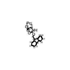 CC(C)C[C@H](NC(=O)OCC1c2ccccc2-c2ccccc21)C(=O)Br